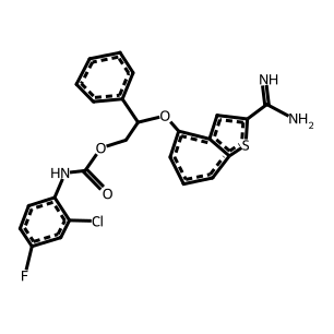 N=C(N)c1cc2c(OC(COC(=O)Nc3ccc(F)cc3Cl)c3ccccc3)cccc2s1